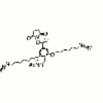 CC(=O)NCc1c(OCCCCCCN=[N+]=[N-])cc(C(=O)ON2C(=O)CCC2=O)cc1OCCCCCCN=[N+]=[N-]